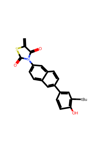 C=C1SC(=O)N(c2ccc3cc(-c4ccc(O)c(C(C)(C)C)c4)ccc3c2)C1=O